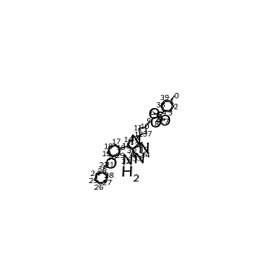 Cc1ccc(S(=O)(=O)OCC2CC(n3cc(-c4cccc(OCc5ccccc5)c4)c4c(N)ncnc43)C2)cc1